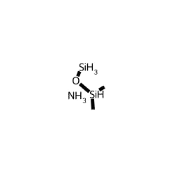 C[SiH](C)O[SiH3].N